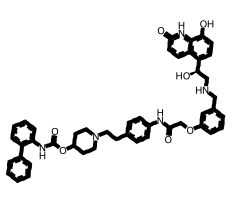 O=C(COc1cccc(CNC[C@@H](O)c2ccc(O)c3[nH]c(=O)ccc23)c1)Nc1ccc(CCN2CCC(OC(=O)Nc3ccccc3-c3ccccc3)CC2)cc1